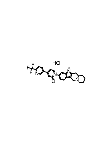 Cl.Cn1c2c(c3ccc(-n4ccc(-c5ccc(C(F)(F)F)nc5)cc4=O)cc31)CN1CCCCC1C2